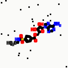 Nc1ncnc2c1ncn2[C@@H]1O[C@H](COC(=O)c2ccc(S(=O)(=O)NCC(=O)O)cc2)C(O)[C@@H]1O